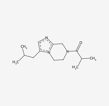 CC(C)Cc1cnc2n1CCN(C(=O)C(C)C)C2